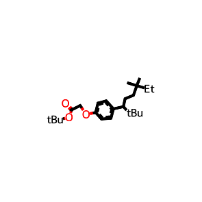 CCC(C)(C)CCC(c1ccc(OCC(=O)OC(C)(C)C)cc1)C(C)(C)C